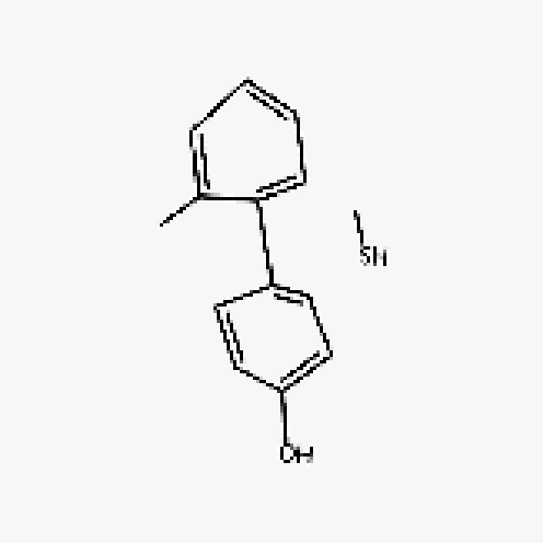 CS.Cc1ccccc1-c1ccc(O)cc1